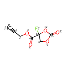 C#CCOC(=O)C1(F)COC(=O)O1